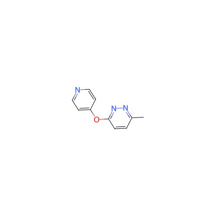 Cc1ccc(Oc2ccncc2)nn1